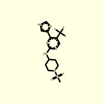 CS(=O)(=O)N1CCC(Nc2ncc(C(F)(F)F)c(-c3c[nH]cn3)n2)CC1